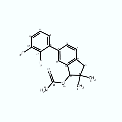 CC1(C)Cc2ccc(-c3cccc(F)c3F)cc2C1OC(N)=O